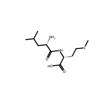 CSCC[C@@H](NC(=O)[C@@H](N)CC(C)C)C(=O)O